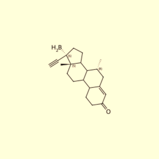 B[C@]1(C#C)CCC2C3C(CC[C@@]21C)C1CCC(=O)C=C1C[C@H]3C